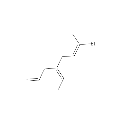 C=CCC(=CC)CC=C(C)CC